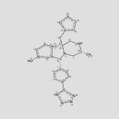 C[C@@H]1CN([C@H](c2ccc(-c3nnn[nH]3)cc2)c2cccc(O)c2)[C@@](C)(Cc2cnsc2)CN1